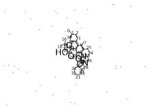 Cc1ccc(-c2c(C)c3c(c(C)c2[C@H](OC(C)(C)C)C(=O)O)N2C(CC3)CN(CC3CCCCC3)S2(=O)=O)cc1